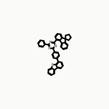 c1ccc(-c2nc(-c3ccc(-c4cccc5c4sc4ccccc45)cc3)nc(-c3cccc4c3-c3ccccc3C43CCCC3)n2)cc1